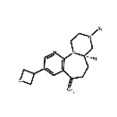 C=C1CC[C@@H]2CN(C(C)C)CCN2c2ncc(C3COC3)cc21